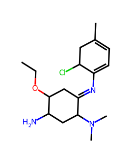 CCOC1C/C(=N\C2=CC=C(C)CC2Cl)C(N(C)C)CC1N